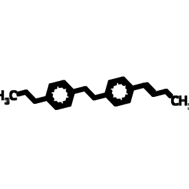 CCC=Cc1ccc(CCc2ccc(CCC)cc2)cc1